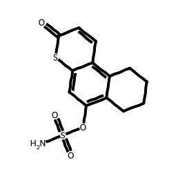 NS(=O)(=O)Oc1cc2sc(=O)ccc2c2c1CCCC2